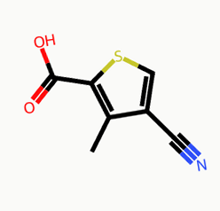 Cc1c(C#N)csc1C(=O)O